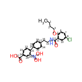 CCCCOc1ccc(Cl)cc1C(=O)NCCc1ccc(-c2ccc(C(=O)O)cc2N(O)O)cc1